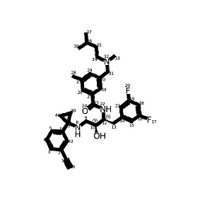 C#Cc1cccc(C2(NC[C@H](O)[C@H](Cc3cc(F)cc(F)c3)NC(=O)c3cc(C)cc(CN(C)CCC(C)C)c3)CC2)c1